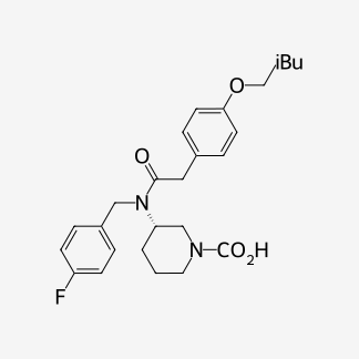 CCC(C)COc1ccc(CC(=O)N(Cc2ccc(F)cc2)[C@H]2CCCN(C(=O)O)C2)cc1